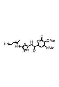 CNc1cc(C(=O)Nc2nnc(N/C(C)=C\C=N)s2)oc(=O)c1OC